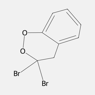 BrC1(Br)Cc2ccccc2OO1